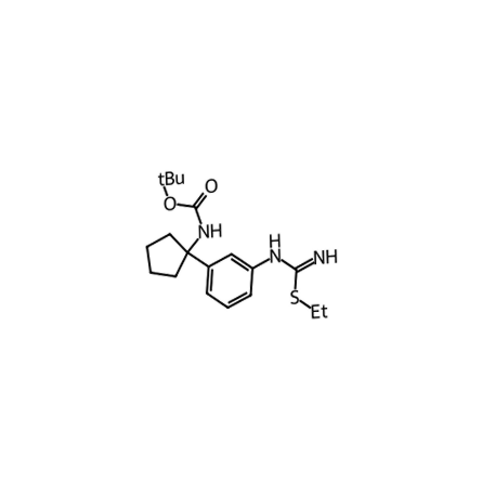 CCSC(=N)Nc1cccc(C2(NC(=O)OC(C)(C)C)CCCC2)c1